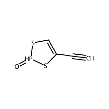 C#CC1=CS[PH](=O)S1